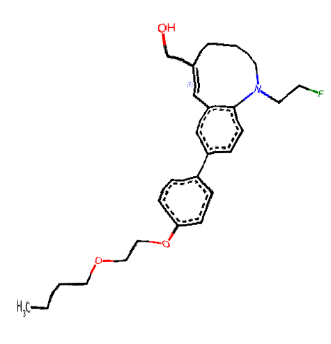 CCCCOCCOc1ccc(-c2ccc3c(c2)/C=C(/CO)CCCN3CCF)cc1